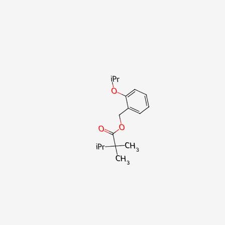 CC(C)Oc1ccccc1COC(=O)C(C)(C)C(C)C